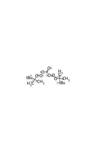 CC(C)(C)C(C)(C)OOOC(=O)OOOC(C)(C)C(C)(C)C